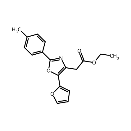 CCOC(=O)Cc1nc(-c2ccc(C)cc2)oc1-c1ccco1